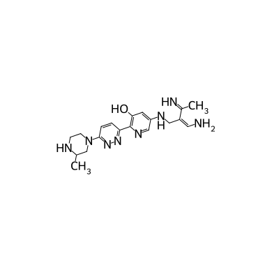 CC(=N)/C(=C\N)CNc1cnc(-c2ccc(N3CCNC(C)C3)nn2)c(O)c1